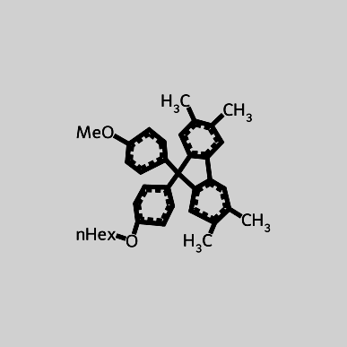 CCCCCCOc1ccc(C2(c3ccc(OC)cc3)c3cc(C)c(C)cc3-c3cc(C)c(C)cc32)cc1